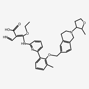 CCO/C(Nc1cccc(-c2cccc(C)c2OCc2ccc3c(c2)CCN(C2CCOC2C)C3)n1)=C(/C=N)C(=O)O